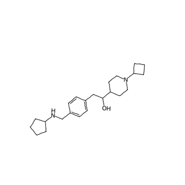 OC(Cc1ccc(CNC2CCCC2)cc1)C1CCN(C2CCC2)CC1